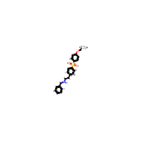 O=C(O)COc1ccc(S(=O)(=O)c2ccc(CCNCc3ccccc3)cc2)cc1